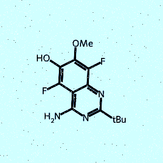 COc1c(O)c(F)c2c(N)nc(C(C)(C)C)nc2c1F